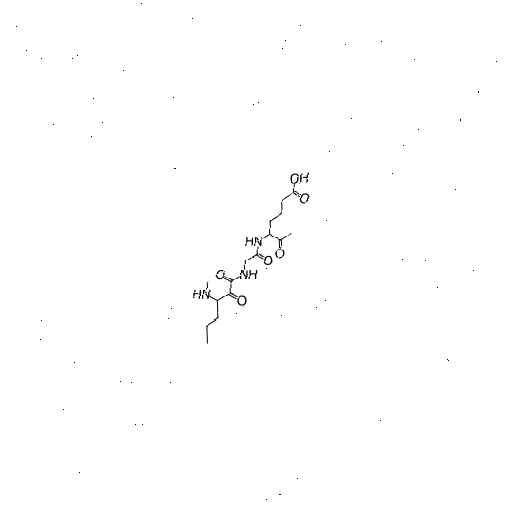 CCCC(NC)C(=O)C(=O)NCC(=O)NC(CCCC(=O)O)C(C)=O